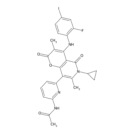 CC(=O)Nc1cccc(-c2c(C)n(C3CC3)c(=O)c3c(Nc4ccc(I)cc4F)c(C)c(=O)oc23)n1